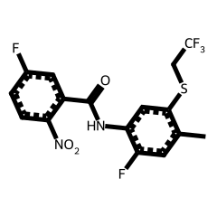 Cc1cc(F)c(NC(=O)c2cc(F)ccc2[N+](=O)[O-])cc1SCC(F)(F)F